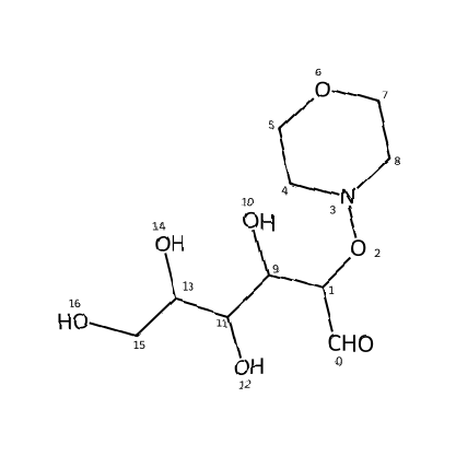 O=CC(ON1CCOCC1)C(O)C(O)C(O)CO